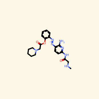 CNCC(=O)Nc1ccc(/N=N/c2ccccc2OC(=O)CN2CCCCC2)c(N)n1